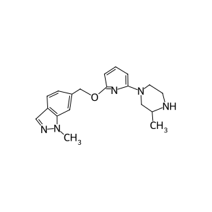 CC1CN(c2cccc(OCc3ccc4cnn(C)c4c3)n2)CCN1